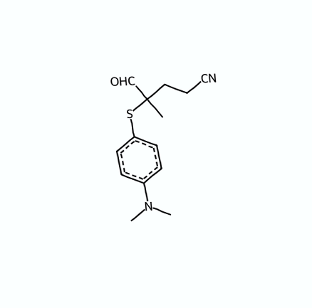 CN(C)c1ccc(SC(C)(C=O)CCC#N)cc1